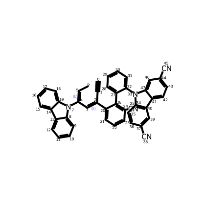 C#C/C(=C\C(=C/C)n1c2ccccc2c2ccccc21)c1cccc(C#N)c1-c1ccccc1-n1c2ccc(C#N)cc2c2ccc(C#N)cc21